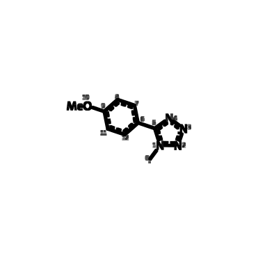 [CH2]n1nnnc1-c1ccc(OC)cc1